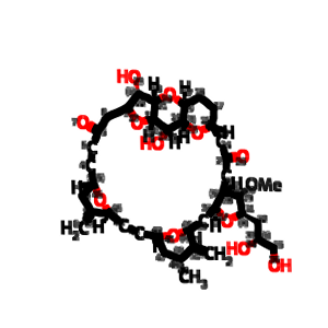 C=C1C[C@@H]2CCC(=O)CC3O[C@H]4[C@@H](O)[C@H]5O[C@H](CC[C@@H]5O[C@H]4[C@H]3O)CC(=O)C[C@@H]3[C@@H](OC)[C@@H](C[C@H](O)CO)O[C@H]3C[C@H]3O[C@@H](CC[C@@H]1O2)C[C@@H](C)C3=C